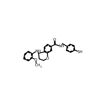 COc1ccccc1NC1CCOc2cc(C(=O)NCc3ccc(S)cc3)ccc21